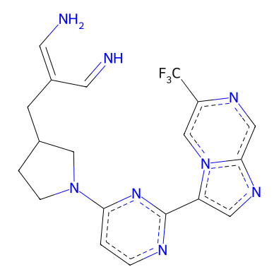 N=C/C(=C\N)CC1CCN(c2ccnc(-c3cnc4cnc(C(F)(F)F)cn34)n2)C1